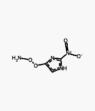 NOOc1c[nH]c([N+](=O)[O-])n1